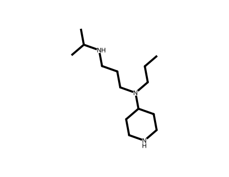 CCCN(CCCNC(C)C)C1CCNCC1